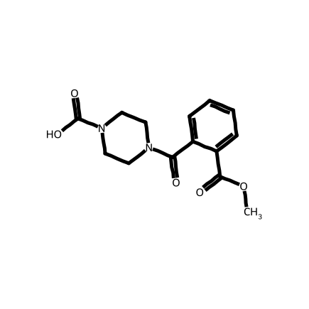 COC(=O)c1ccccc1C(=O)N1CCN(C(=O)O)CC1